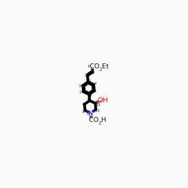 CCOC(=O)C=Cc1ccc(C2CCN(C(=O)O)CC2O)cc1